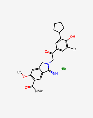 Br.CCOc1cc2c(cc1C(=O)NC)C(=N)N(CC(=O)c1cc(CC)c(O)c(C3CCCC3)c1)C2